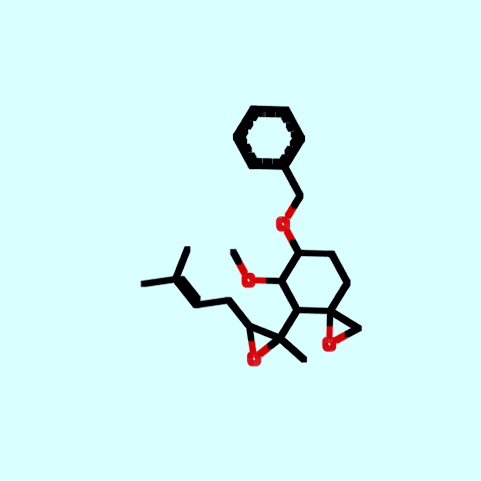 COC1C(OCc2ccccc2)CCC2(CO2)C1C1(C)OC1CC=C(C)C